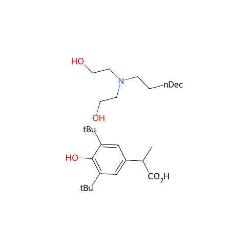 CC(C(=O)O)c1cc(C(C)(C)C)c(O)c(C(C)(C)C)c1.CCCCCCCCCCCCN(CCO)CCO